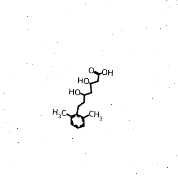 Cc1cccc(C)c1CCC(O)CC(O)CC(=O)O